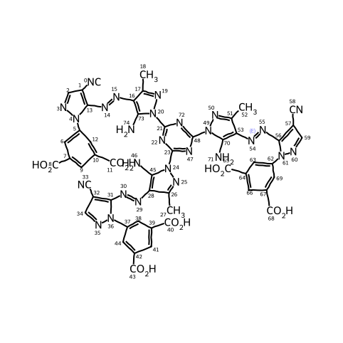 [C-]#[N+]c1cnn(-c2cc(C(=O)O)cc(C(=O)O)c2)c1N=Nc1c(C)nn(-c2nc(-n3nc(C)c(N=Nc4c(C#N)cnn4-c4cc(C(=O)O)cc(C(=O)O)c4)c3N)nc(-n3nc(C)c(/N=N/c4c(C#N)cnn4-c4cc(C(=O)O)cc(C(=O)O)c4)c3N)n2)c1N